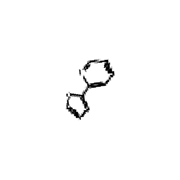 c1ccc(-c2ccco2)pc1